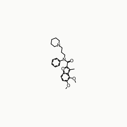 COc1ccc2oc(C(=O)N(CCCN3CCCCC3)c3ccccc3)c(C)c2c1OC